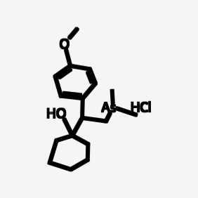 COc1ccc(C(C[As](C)C)C2(O)CCCCC2)cc1.Cl